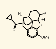 COc1ccc2c3c1O[C@@H]1C(F)CCC4[C@H](C2)N(C(=O)C2CC2)CCC341